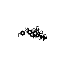 Cc1ccoc1C(=O)O[C@]1(C(=O)SCF)CC[C@@H]2[C@@H]3CCC4=Cc5c(cnn5-c5ccc(F)cc5)C[C@]4(C)[C@H]3[C@@H](O)C[C@@]21C